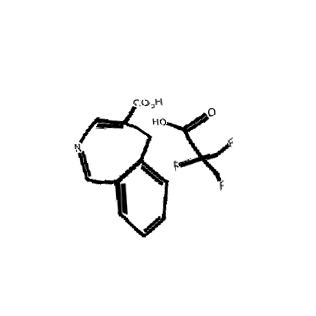 O=C(O)C(F)(F)F.O=C(O)C1=CN=Cc2ccccc2C1